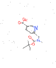 CN(Cc1ccc(C(=O)O)cn1)C(=O)OC(C)(C)C